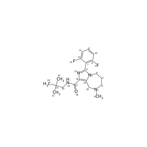 CN1CCCn2c(-c3c(F)cccc3F)nc(C(=O)NCC(C)(C)C)c2C1